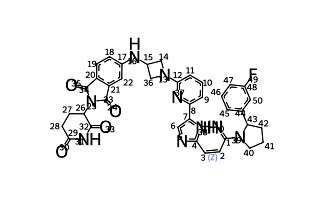 N=C(/C=C\c1ncc(-c2cccc(N3CC(Nc4ccc5c(c4)C(=O)N(C4CCC(=O)NC4=O)C5=O)C3)n2)[nH]1)N1CCCC1c1cccc(F)c1